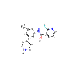 CN1CCC(c2cc(NC(=O)c3cccnc3F)cc(C(F)(F)F)c2)CC1